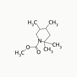 COC(=O)N1CC(C)C(C)CC1(C)C